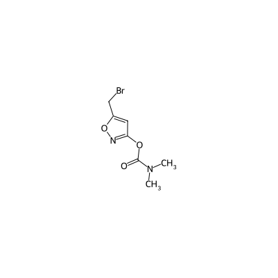 CN(C)C(=O)Oc1cc(CBr)on1